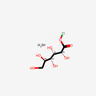 O=C(OCl)[C@H](O)[C@@H](O)[C@H](O)[C@H](O)CO.[SnH2]